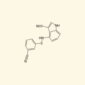 N#Cc1cccc(SNc2cccc3[nH]cc(C#N)c23)c1